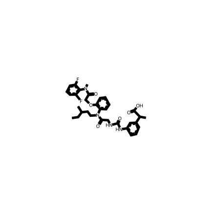 CCC(C)CCN(C(=O)CNC(=O)Nc1cccc(C(C)C(=O)O)c1)c1ccccc1OCC(=O)N(C)c1c(F)cccc1F